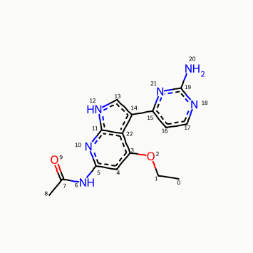 CCOc1cc(NC(C)=O)nc2[nH]cc(-c3ccnc(N)n3)c12